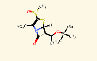 CC[C@H](O[Si](C)(C)C(C)(C)C)[C@@H]1C(=O)N2C(C(=O)O)=C([S+](C)[O-])S[C@H]12